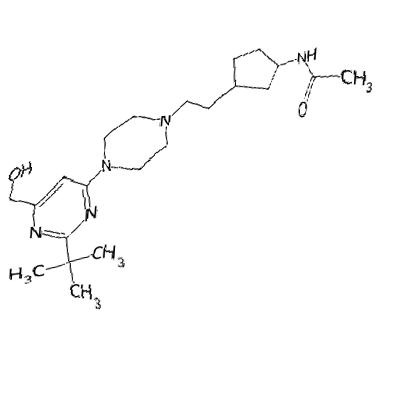 CC(=O)NC1CCC(CCN2CCN(c3cc(CO)nc(C(C)(C)C)n3)CC2)C1